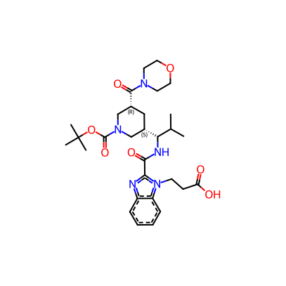 CC(C)C(NC(=O)c1nc2ccccc2n1CCC(=O)O)[C@H]1C[C@@H](C(=O)N2CCOCC2)CN(C(=O)OC(C)(C)C)C1